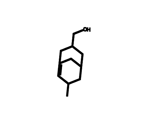 CC1C=C2CC(CO)CC(C2)C1